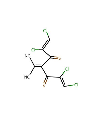 N#CC(C#N)=C(C(=S)C(Cl)=CCl)C(=S)C(Cl)=CCl